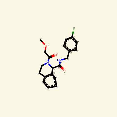 COCC(=O)N1CCc2c[c]ccc2C1C(=O)NCc1ccc(Cl)cc1